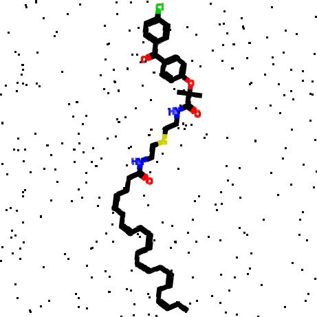 CC/C=C\C/C=C\C/C=C\C/C=C\C/C=C\C/C=C\CCC(=O)NCCSCCNC(=O)C(C)(C)Oc1ccc(C(=O)c2ccc(Cl)cc2)cc1